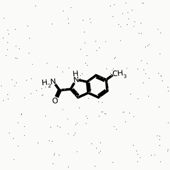 Cc1ccc2cc(C(N)=O)[nH]c2c1